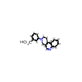 O=C(O)c1cccc(N2CCc3c(cnc4ccccc34)C2)c1